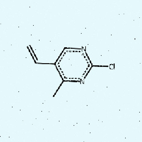 C=Cc1cnc(Cl)nc1C